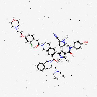 CCN(CC)C[C@@H]1Cc2ccccc2CN1C(=O)c1cc2c(cc1-c1c(-c3cc(C#N)n(C)c3C)c(C(=O)Nc3ccc(O)cc3)c(C)n1C)CCN(C(=O)Cc1ccc(OCCN3CCOCC3)cc1F)C2